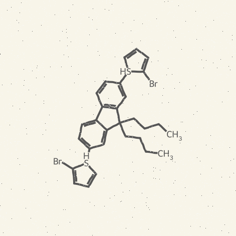 CCCCC1(CCCC)c2cc([SH]3C=CC=C3Br)ccc2-c2ccc([SH]3C=CC=C3Br)cc21